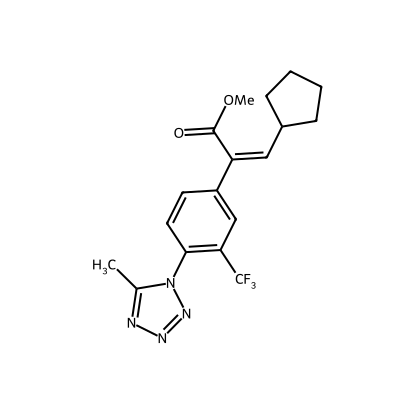 COC(=O)C(=CC1CCCC1)c1ccc(-n2nnnc2C)c(C(F)(F)F)c1